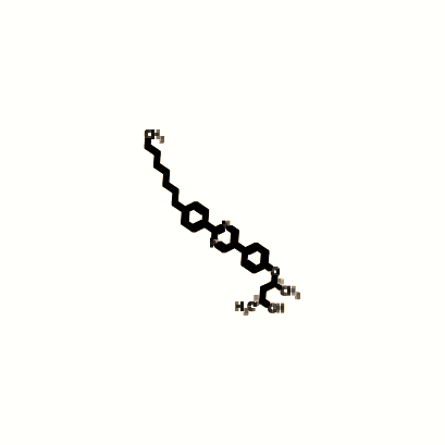 CCCCCCCCc1ccc(-c2ncc(-c3ccc(O[C@@H](C)C[C@@H](C)O)cc3)cn2)cc1